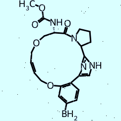 Bc1ccc2c(c1)OC/C=C\COC[C@H](NC(=O)OC)C(=O)N1CCCC1c1nc-2c[nH]1